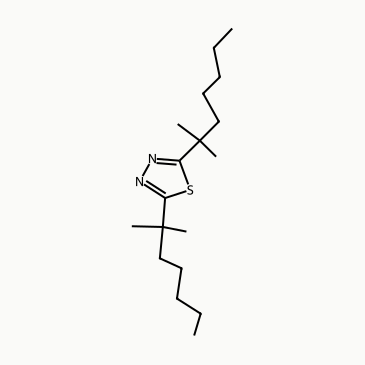 CCCCCC(C)(C)c1nnc(C(C)(C)CCCCC)s1